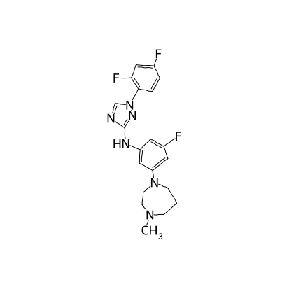 CN1CCCN(c2cc(F)cc(Nc3ncn(-c4ccc(F)cc4F)n3)c2)CC1